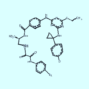 CCc1ccc(NC(=O)C(=O)NC[C@H](NC(=O)c2ccc(Nc3nc(NC4(c5ccc(Cl)cc5)CC4)nc(OCC(F)(F)F)n3)cc2)C(=O)O)cc1